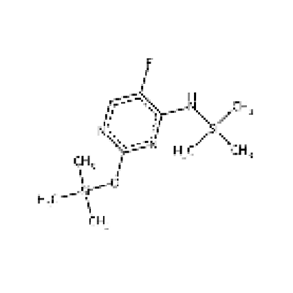 C[Si](C)(C)Nc1nc(O[Si](C)(C)C)ncc1F